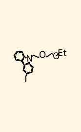 CCOCCOCCn1c2ccccc2c2cc(I)ccc21